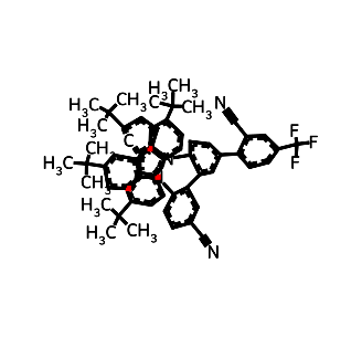 CC(C)(C)c1ccc2c(c1)c1cc(C(C)(C)C)ccc1n2-c1ccc(C#N)cc1-c1cc(-c2ccc(C(F)(F)F)cc2C#N)ccc1-n1c2ccc(C(C)(C)C)cc2c2cc(C(C)(C)C)ccc21